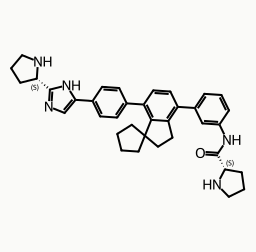 O=C(Nc1cccc(-c2ccc(-c3ccc(-c4cnc([C@@H]5CCCN5)[nH]4)cc3)c3c2CCC32CCCC2)c1)[C@@H]1CCCN1